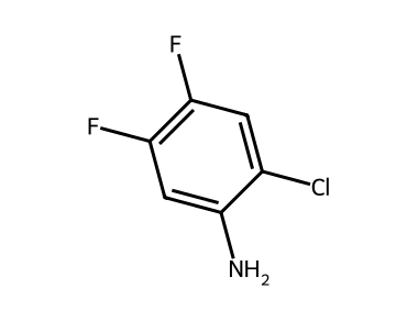 Nc1cc(F)c(F)cc1Cl